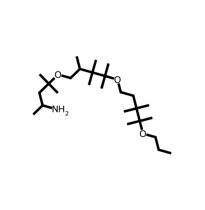 CCCOC(C)(C)C(C)(C)CCOC(C)(C)C(C)(C)C(C)COC(C)(C)CC(C)N